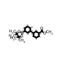 COC(=O)c1cccc(-c2cccc(B3OC(C)(C)C(C)(C)O3)c2)c1